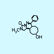 CN1CC2=C3CCC(O)CCCC3C(c3ccccc3)=NN2C1=O